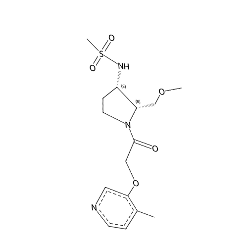 COC[C@H]1[C@@H](NS(C)(=O)=O)CCN1C(=O)COc1cnccc1C